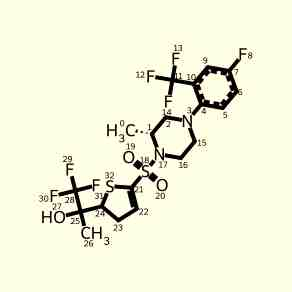 C[C@@H]1CN(c2ccc(F)cc2C(F)(F)F)CCN1S(=O)(=O)C1=CCC(C(C)(O)C(F)(F)F)S1